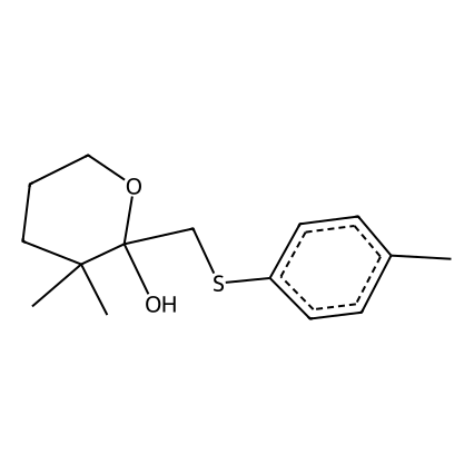 Cc1ccc(SCC2(O)OCCCC2(C)C)cc1